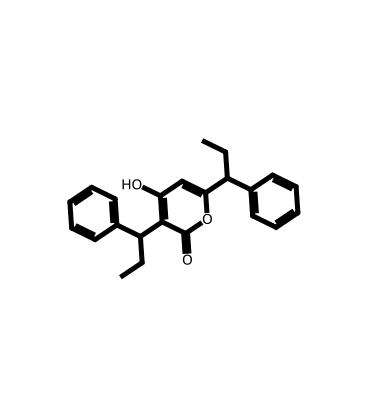 CCC(c1ccccc1)c1cc(O)c(C(CC)c2ccccc2)c(=O)o1